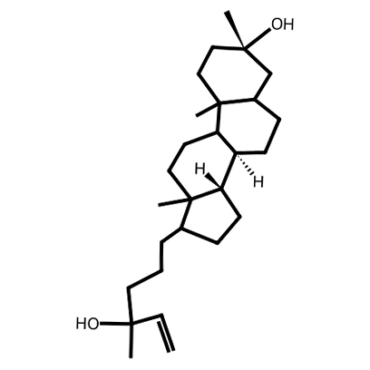 C=CC(C)(O)CCCC1CC[C@H]2[C@@H]3CCC4C[C@@](C)(O)CCC4(C)C3CCC12C